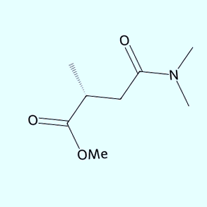 COC(=O)[C@H](C)CC(=O)N(C)C